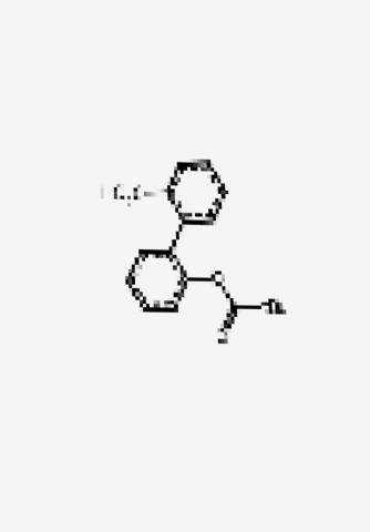 CC(C)(C)C(=O)Oc1ccccc1-c1ccccc1C(=O)O